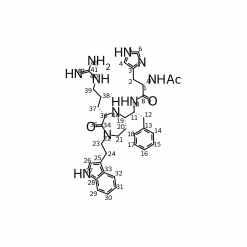 CC(=O)N[C@@H](Cc1c[nH]cn1)C(=O)N[C@H](Cc1ccccc1)[C@@H]1CCN(CCc2c[nH]c3ccccc23)C(=O)[C@H](CCCNC(=N)N)N1